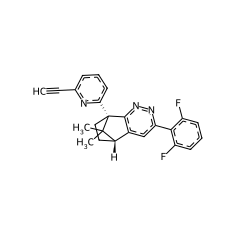 C#Cc1cccc([C@]23CC[C@@H](c4cc(-c5c(F)cccc5F)nnc42)C3(C)C)n1